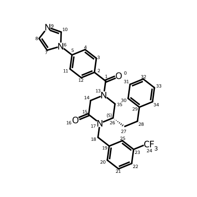 O=C(c1ccc(-n2ccnc2)cc1)N1CC(=O)N(Cc2cccc(C(F)(F)F)c2)[C@@H](CCc2ccccc2)C1